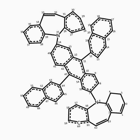 C1=CC2=C(CC1)N(c1ccc3c(-c4ccc5ccccc5c4)c4cc(N5c6ccccc6C=Cc6ccccc65)ccc4c(-c4ccc5ccccc5c4)c3c1)c1ccccc1C=C2